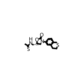 CC(=S)NC[C@H]1CN(c2ccc3c(c2)CCSC3)C(=O)O1